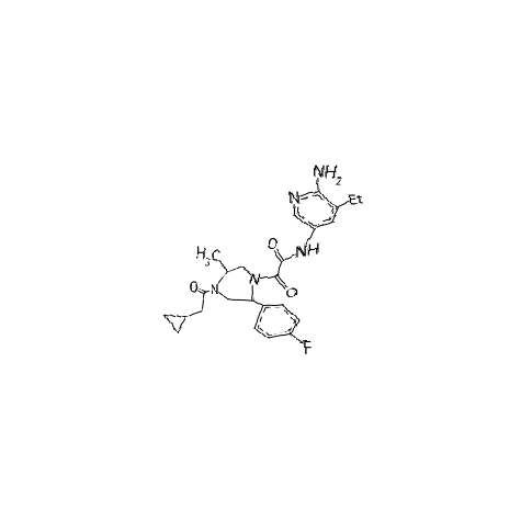 CCc1cc(NC(=O)C(=O)N2CC(C)N(C(=O)CC3CC3)CC2c2ccc(F)cc2)cnc1N